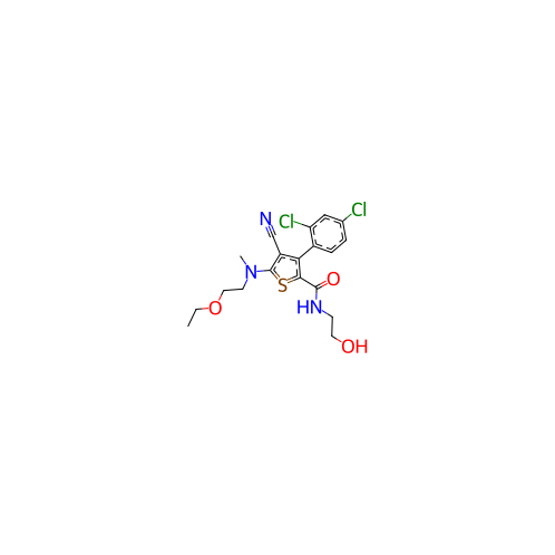 CCOCCN(C)c1sc(C(=O)NCCO)c(-c2ccc(Cl)cc2Cl)c1C#N